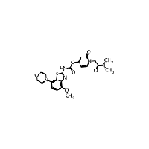 COc1ccc(N2CCOCC2)c2sc(NC(=O)Oc3ccn(CC(=O)N(C)C)c(=O)c3)nc12